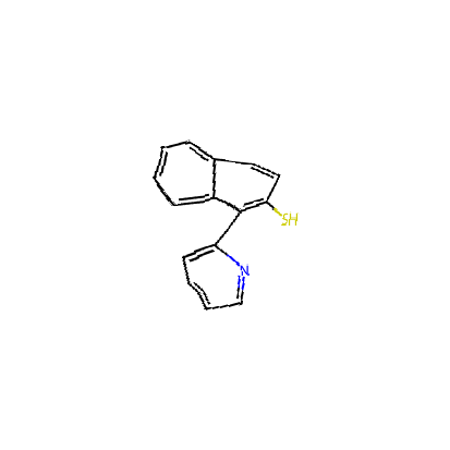 Sc1ccc2ccccc2c1-c1ccccn1